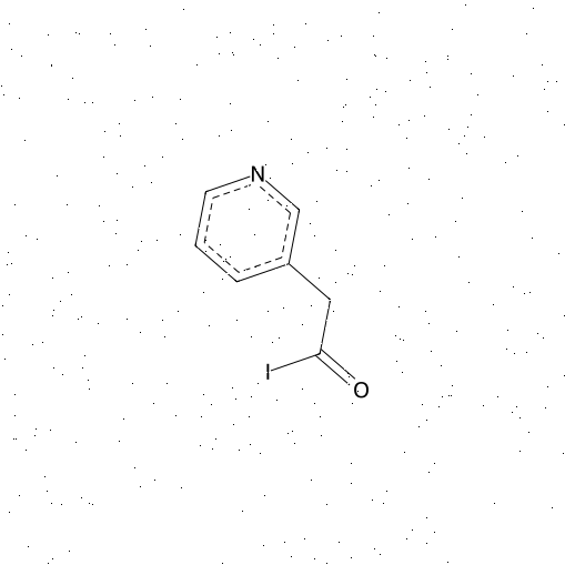 O=C(I)Cc1cccnc1